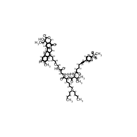 CCCCN(CCCC)CCCCC(NC(=O)C(NC(=O)CCCC#Cc1cnc(S(C)(=O)=O)nc1)C(C)C)C(=O)NCC(=O)NCOCCCc1c2c(nc3cc(F)c(C)cc13)-c1cc3c(c(=O)n1C2)COC(=O)[C@]3(O)CC